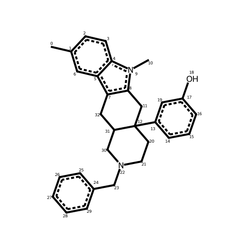 Cc1ccc2c(c1)c1c(n2C)CC2(c3cccc(O)c3)CCN(Cc3ccccc3)CC2C1